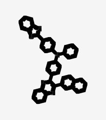 c1ccc(N(c2ccc(-c3nc4ccccc4o3)cc2)c2ccc(-c3nc4ccccc4nc3-c3ccc4ccccc4c3)cc2)cc1